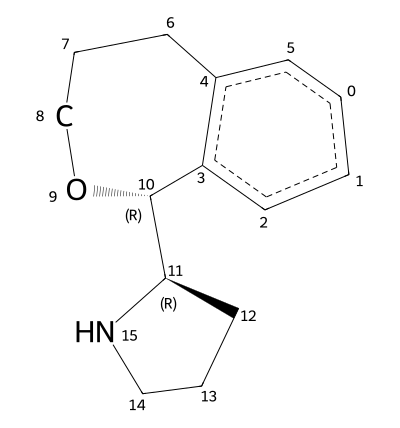 c1ccc2c(c1)CCCO[C@H]2[C@H]1CCCN1